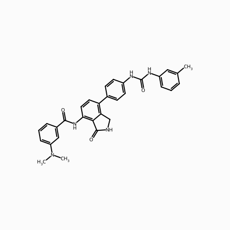 Cc1cccc(NC(=O)Nc2ccc(-c3ccc(NC(=O)c4cccc(N(C)C)c4)c4c3CNC4=O)cc2)c1